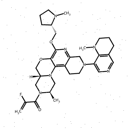 C=C(F)C(=O)N1C[C@@H]2COc3c(OC[C@@H]4CCCN4C)nc4c(c3N2C[C@H]1C)CCN(c1cncc2c1N(C)CCC2)C4